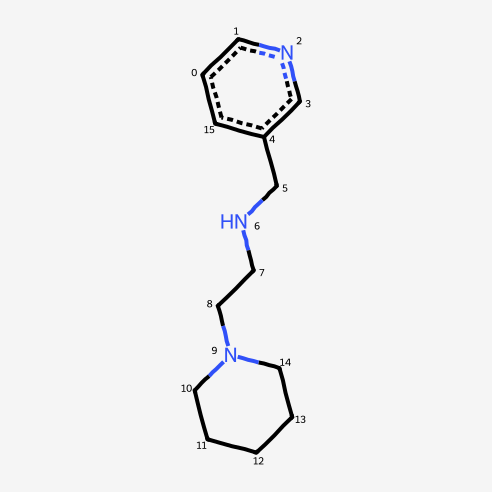 c1cncc(CNCCN2CCCCC2)c1